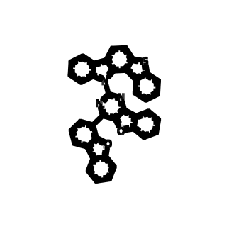 c1ccc2c(c1)oc1c(-c3nc(-n4c5ccccc5c5ccc6sc7ccccc7c6c54)nc4c3oc3ccccc34)cccc12